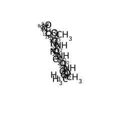 CC1Oc2cc(N3CCCC3=O)ccc2-c2cnc(Nc3cncc(NC(=O)c4ccc(NC(=O)OC(C)(C)C)cc4)c3)cc21